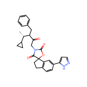 C[C@@H](C1CC1)C(Cc1ccccc1)C(=O)CN1C(=O)OC2(CCc3ccc(-c4ccn[nH]4)cc32)C1=O